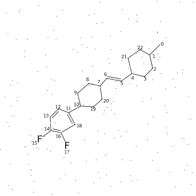 CC1CCC(C=CC2CCC(c3ccc(F)c(F)c3)CC2)CC1